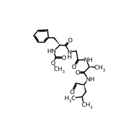 COC(=O)N[C@@H](Cc1ccccc1)C(=O)NCC(=O)N[C@@H](C)C(=O)N[C@H](C=O)CC(C)C